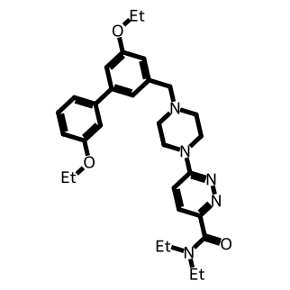 CCOc1cccc(-c2cc(CN3CCN(c4ccc(C(=O)N(CC)CC)nn4)CC3)cc(OCC)c2)c1